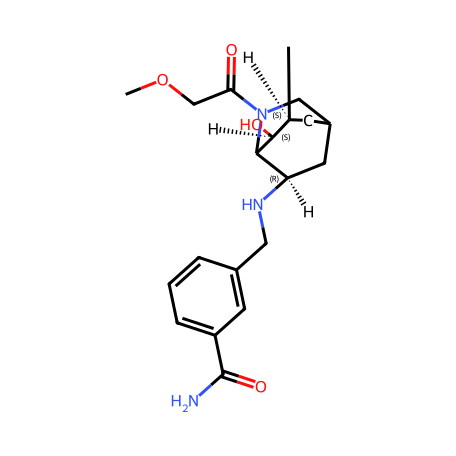 COCC(=O)N1CC2C[C@@H](NCc3cccc(C(N)=O)c3)C1[C@@H](O)[C@@H](C)C2